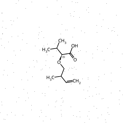 C=CC(C)CO[C@H](C(=O)O)C(C)C